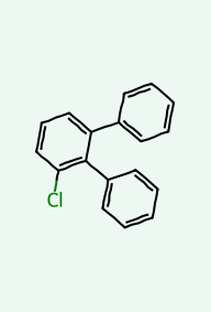 Clc1cccc(-c2ccccc2)c1-c1ccccc1